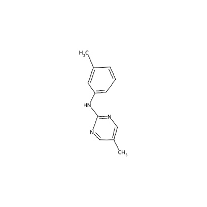 Cc1cnc(Nc2cccc(C)c2)nc1